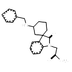 COC(=O)CN1C(=O)C2(CCCC(NCc3ccccc3)C2)c2ccccc21